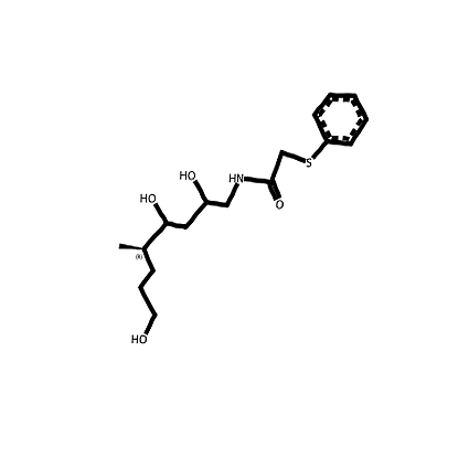 C[C@H](CCCO)C(O)CC(O)CNC(=O)CSc1ccccc1